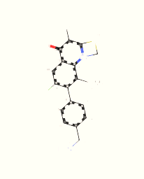 CCOC(=O)c1c2n(c3c(OC)c(-c4ccc(CN)cc4)c(F)cc3c1=O)CS2